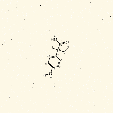 CCC(C)(C(=O)O)c1ccc(OC)cc1